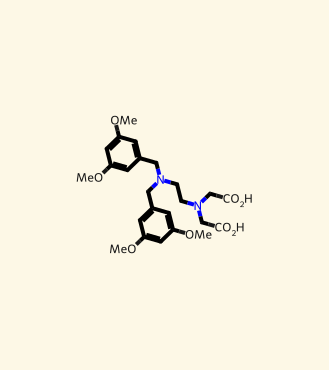 COc1cc(CN(CCN(CC(=O)O)CC(=O)O)Cc2cc(OC)cc(OC)c2)cc(OC)c1